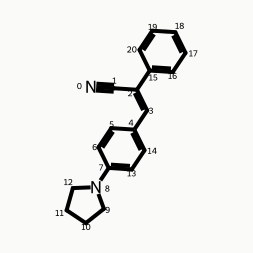 N#C/C(=C\c1ccc(N2CCCC2)cc1)c1ccccc1